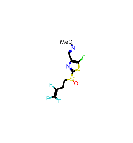 CON=Cc1nc([S+]([O-])CCC(F)=C(F)F)sc1Cl